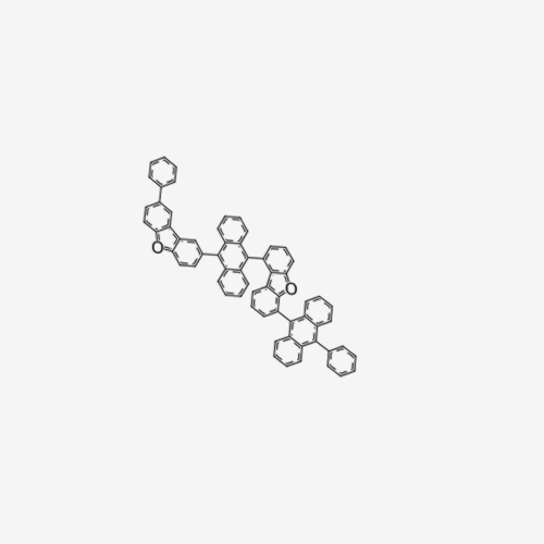 c1ccc(-c2ccc3oc4ccc(-c5c6ccccc6c(-c6cccc7oc8c(-c9c%10ccccc%10c(-c%10ccccc%10)c%10ccccc9%10)cccc8c67)c6ccccc56)cc4c3c2)cc1